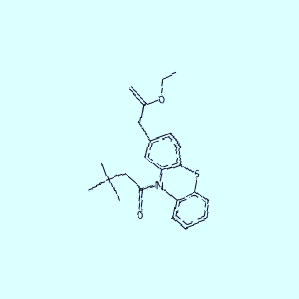 C=C(Cc1ccc2c(c1)N(C(=O)CC(C)(C)C)c1ccccc1S2)OCC